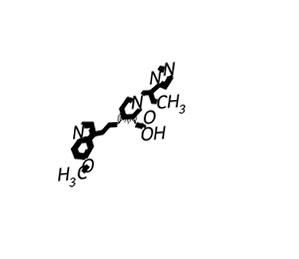 CCC(CN1CC[C@@H](CCCc2ccnc3ccc(OC)cc23)[C@@H](CC(=O)O)C1)c1ccncn1